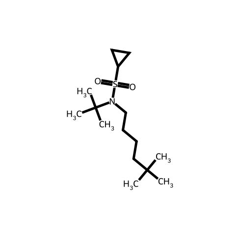 CC(C)(C)CCCCN(C(C)(C)C)S(=O)(=O)C1CC1